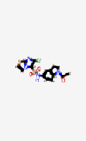 CC(=O)N1CCc2cc(NS(=O)(=O)C3C(Cl)N=C4SC=CN43)ccc21